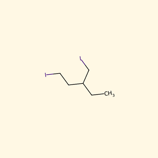 CCC(CI)CCI